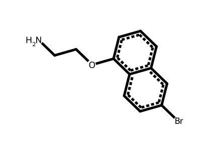 NCCOc1cccc2cc(Br)ccc12